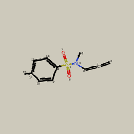 C=C=CN(C)S(=O)(=O)c1ccc(C)cc1